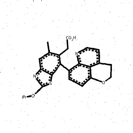 Cc1cc2nc(OC(C)C)sc2c(-c2ccc3c4c(ccnc24)CCO3)c1CC(=O)O